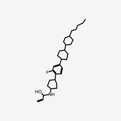 C=CC(O)NC1CCC(c2ccc(C3CCC(C4CCC(CCCCC)CC4)CC3)cc2F)CC1